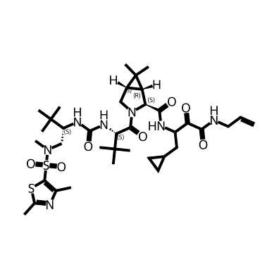 C=CCNC(=O)C(=O)C(CC1CC1)NC(=O)[C@@H]1[C@@H]2[C@H](CN1C(=O)[C@@H](NC(=O)N[C@H](CN(C)S(=O)(=O)c1sc(C)nc1C)C(C)(C)C)C(C)(C)C)C2(C)C